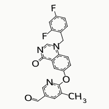 Cc1cc(C=O)cnc1Oc1ccc2c(c1)c(=O)ncn2Cc1ccc(F)cc1F